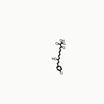 O=C(O)C(Cl)C(Cl)CCCCCCC(O)CCc1ccc(Cl)cc1